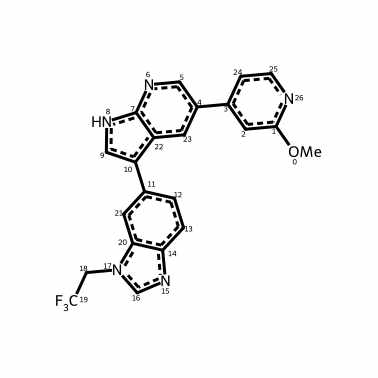 COc1cc(-c2cnc3[nH]cc(-c4ccc5ncn(CC(F)(F)F)c5c4)c3c2)ccn1